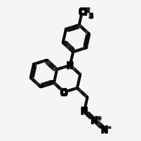 [N-]=[N+]=NCC1CN(c2ccc(C(F)(F)F)cc2)c2ccccc2O1